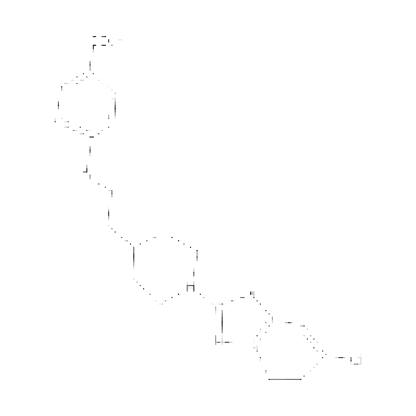 O=C(O)c1ccc(OCCC2CCN(c3nc4ccc(Cl)cc4s3)CC2)cc1